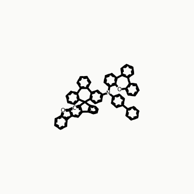 c1ccc(-c2ccc(N(c3ccc4c(c3)-c3ccccc3-c3ccccc3C43c4ccccc4-c4cc5c(cc43)oc3ccccc35)c3cccc4c3Oc3ccccc3-c3ccccc3-4)cc2)cc1